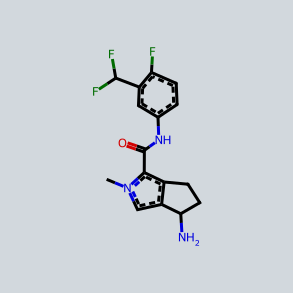 Cn1cc2c(c1C(=O)Nc1ccc(F)c(C(F)F)c1)CCC2N